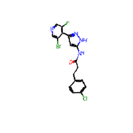 O=C(CCc1ccc(Cl)cc1)Nc1cc(-c2c(F)cncc2Br)n[nH]1